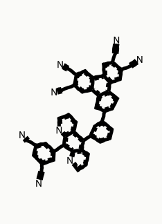 N#Cc1cc(C#N)cc(-c2c3ncccc3c(-c3cccc(-c4ccc5c(c4)c4cc(C#N)c(C#N)cc4c4cc(C#N)c(C#N)cc54)c3)c3cccnc23)c1